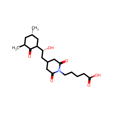 CC1C[C@H](C)CC([C@H](O)CC2CC(=O)N(CCCCC(=O)O)C(=O)C2)C1=O